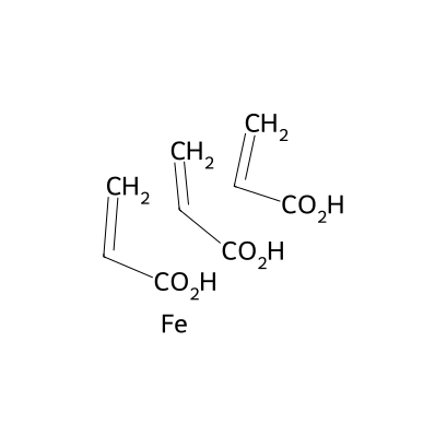 C=CC(=O)O.C=CC(=O)O.C=CC(=O)O.[Fe]